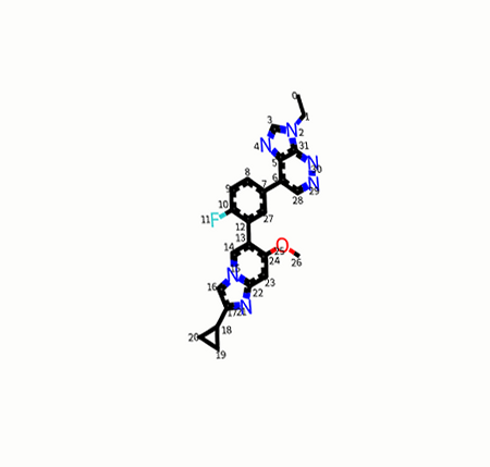 CCn1cnc2c(-c3ccc(F)c(-c4cn5cc(C6CC6)nc5cc4OC)c3)cnnc21